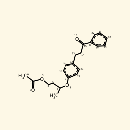 CC(=O)OCCC(C)Oc1ccc(CCC(=O)c2ccccc2)cc1